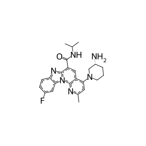 Cc1cc(N2CCC[C@@H](N)C2)c2cc(C(=O)NC(C)C)c3nc4ccc(F)cc4n3c2n1